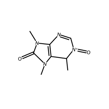 CC1c2c(n(C)c(=O)n2C)N=C[N+]1=O